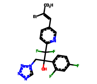 CC/C(=C\c1ccc(C(F)(F)C(O)(Cn2cnnn2)c2ccc(F)cc2F)nc1)C(=O)O